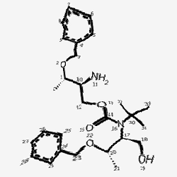 C[C@H](OCc1ccccc1)[C@@H](N)COC(=O)N([C@@H](CO)[C@H](C)OCc1ccccc1)C(C)(C)C